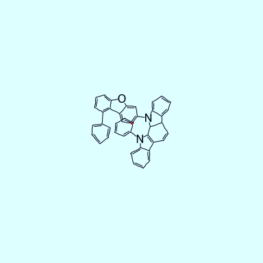 C1=CC2c3ccccc3N(c3ccc4c(c3)oc3cccc(-c5ccccc5)c34)C2c2c1c1ccccc1n2-c1ccccc1